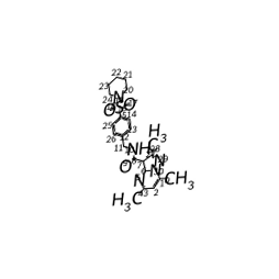 CC1=CC(C)=NC2C(C(=O)NCc3ccc(S(=O)(=O)N4CCCCC4)cc3)C(C)=NN12